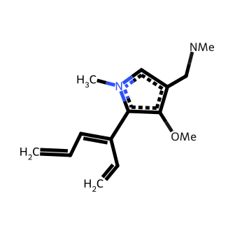 C=C/C=C(\C=C)c1c(OC)c(CNC)cn1C